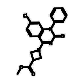 COC(=O)C1CN(c2nc(=O)n(-c3ccccc3)c3cc(Cl)ccc23)C1